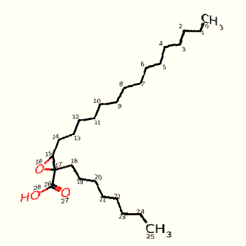 CCCCCCCCCCCCCCCC1OC1(CCCCCCCC)C(=O)O